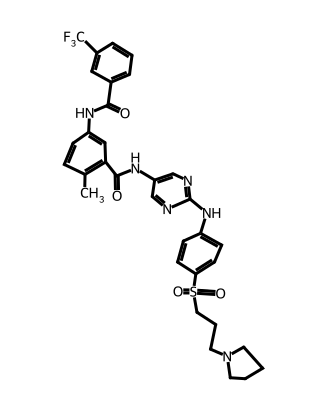 Cc1ccc(NC(=O)c2cccc(C(F)(F)F)c2)cc1C(=O)Nc1cnc(Nc2ccc(S(=O)(=O)CCCN3CCCC3)cc2)nc1